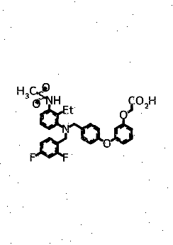 CCc1c(NS(C)(=O)=O)cccc1N(Cc1ccc(Oc2cccc(OCC(=O)O)c2)cc1)Cc1ccc(F)cc1F